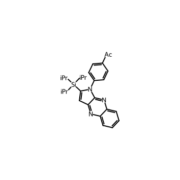 CC(=O)c1ccc(-n2c([Si](C(C)C)(C(C)C)C(C)C)cc3nc4ccccc4nc32)cc1